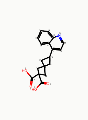 O=C(O)C1(C(=O)O)CC2(CC(c3ccnc4ccccc34)C2)C1